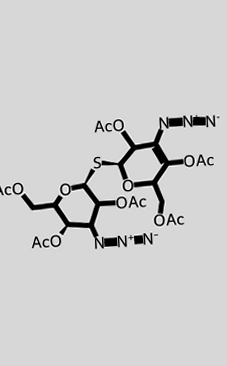 CC(=O)OCC1O[C@@H](S[C@@H]2OC(COC(C)=O)[C@H](OC(C)=O)C(N=[N+]=[N-])C2OC(C)=O)C(OC(C)=O)C(N=[N+]=[N-])=C1OC(C)=O